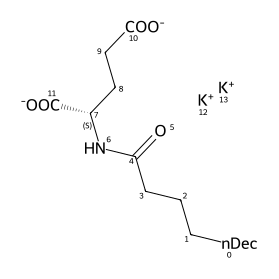 CCCCCCCCCCCCCC(=O)N[C@@H](CCC(=O)[O-])C(=O)[O-].[K+].[K+]